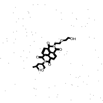 CC(C)CC(CO)N1C(=O)c2ccc3c4c(ccc(c24)C1=O)C(=O)N(CCOCCO)C3=O